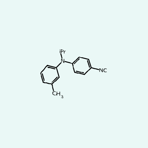 [C-]#[N+]c1ccc(N(c2cccc(C)c2)C(C)C)cc1